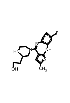 Cc1cc2c(s1)Nc1cc(F)ccc1N=C2N1CCNC(CCO)C1